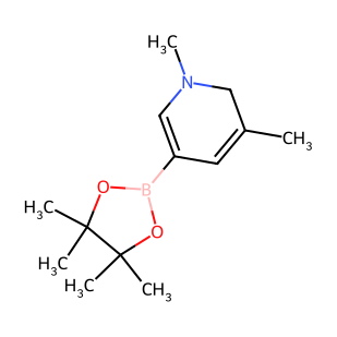 CC1=CC(B2OC(C)(C)C(C)(C)O2)=CN(C)C1